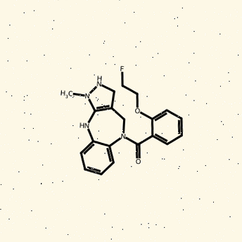 CN1NCC2=C1Nc1ccccc1N(C(=O)c1ccccc1OCCF)C2